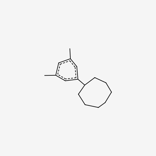 Cc1cc(C)cc(C2CCCCCCC2)c1